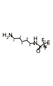 NCCCCCNC(=O)C(F)(F)F